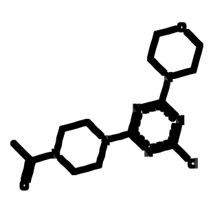 CC(=O)N1CCN(c2nc(Cl)nc(N3CCOCC3)n2)CC1